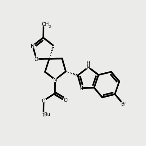 CC1=NO[C@@]2(C1)C[C@H](c1nc3cc(Br)ccc3[nH]1)N(C(=O)OC(C)(C)C)C2